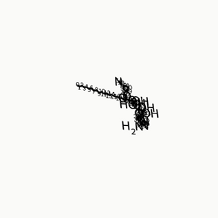 CCCCCCCCCCCCCCCCCCOC[C@H](CO[PH](O)(O)OC[C@H]1O[C@@](C)(c2ccc3c(N)ncnn23)[C@H](O)[C@@H]1O)OCc1cccc(C#N)c1